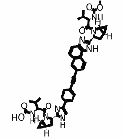 COC(=O)N[C@H](C(=O)N1[C@@H]2C[C@H]2C[C@H]1c1nc2ccc3cc(C#Cc4ccc(-c5c[nH]c([C@@H]6C[C@H]7C[C@H]7N6C(=O)[C@@H](NC(=O)O)C(C)C)n5)cc4)ccc3c2[nH]1)C(C)C